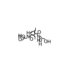 O=C(NCC(O)CO)c1ccc(I)c(C(=O)NCC(O)CO)c1I